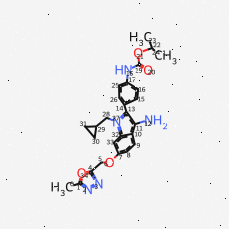 Cc1nnc(COc2ccc3c(N)c(-c4ccc(NC(=O)OC(C)C)cc4)n(CC4CC4)c3c2)o1